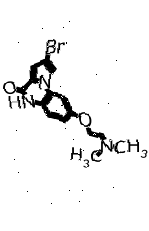 CN(C)CCOc1ccc2[nH]c(=O)c3cc(Br)cn3c2c1